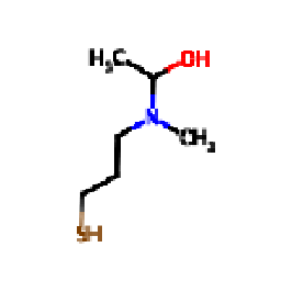 CC(O)N(C)CCCS